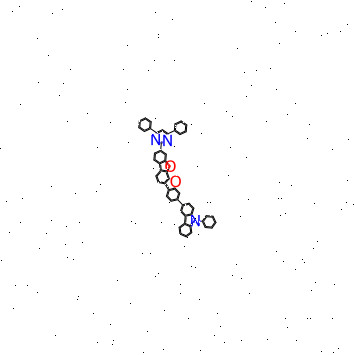 c1ccc(-c2cc(-c3ccccc3)nc(-c3ccc4c(c3)oc3c4ccc4c5ccc(-c6ccc7c(c6)c6ccccc6n7-c6ccccc6)cc5oc43)n2)cc1